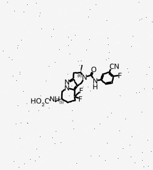 C[C@@H]1Cc2nn3c(c2CN1C(=O)Nc1ccc(F)c(C#N)c1)C(F)(F)CC[C@@H](CNC(=O)O)C3